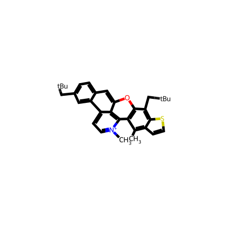 Cc1c2c(c(CC(C)(C)C)c3sccc13)Oc1cc3ccc(CC(C)(C)C)cc3c3cc[n+](C)c-2c13